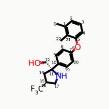 Cc1cccc(Oc2ccc([C@]3(CO)C[C@H](C(F)(F)F)CN3)cc2)c1C